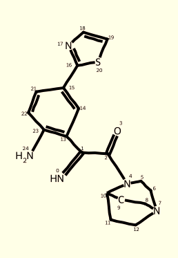 N=C(C(=O)N1CCN2CCC1CC2)c1cc(-c2nccs2)ccc1N